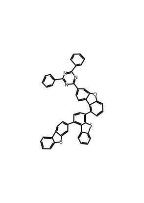 c1ccc(-c2nc(-c3ccccc3)nc(-c3ccc4c(c3)oc3cccc(-c5ccc(-c6ccc7c(c6)sc6ccccc67)c6c5sc5ccccc56)c34)n2)cc1